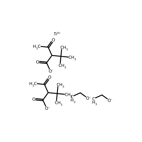 CC(=O)C(C(=O)[O-])C(C)(C)C.CC(=O)C(C(=O)[O-])C(C)(C)C.CC[O-].CC[O-].[Ti+4]